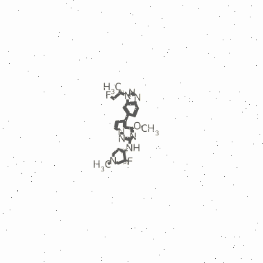 COc1nc(N[C@@H]2CCN(C)C[C@@H]2F)nn2ccc(-c3ccc4nnn([C@H](C)CF)c4c3)c12